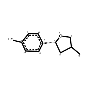 CC1CO[C@@H](c2ccc(F)cc2)C1